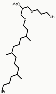 COC(COCCC(C)CCCC(C)CCCC(C)CCCC(C)C)CSCCCO